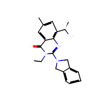 CCn1c(N2Cc3ccccc3C2)nc2c([C@@H](C)N)cc(C)cc2c1=O